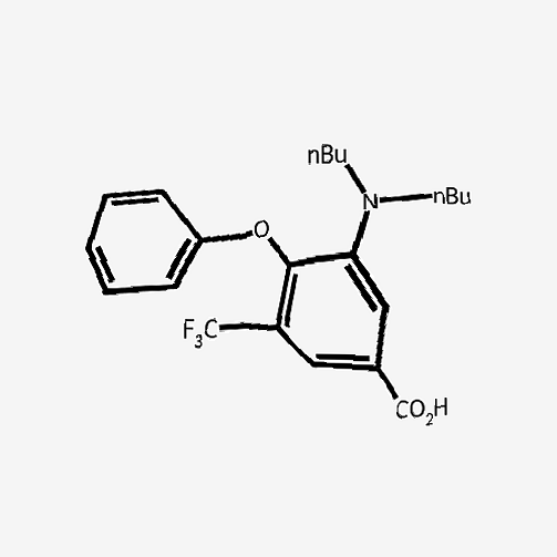 CCCCN(CCCC)c1cc(C(=O)O)cc(C(F)(F)F)c1Oc1ccccc1